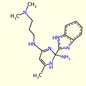 CC1=CC(NCCCN(C)C)=NC(N)(c2nc3ccccc3[nH]2)N1